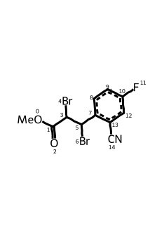 COC(=O)C(Br)C(Br)c1c[c]c(F)cc1C#N